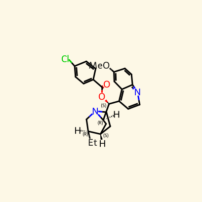 CC[C@H]1CN2CC[C@H]1C[C@@H]2[C@@H](OC(=O)c1ccc(Cl)cc1)c1ccnc2ccc(OC)cc12